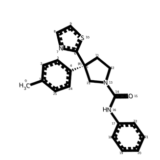 Cc1ccc([C@]2(c3nccs3)CCN(C(=O)Nc3ccccc3)C2)cc1